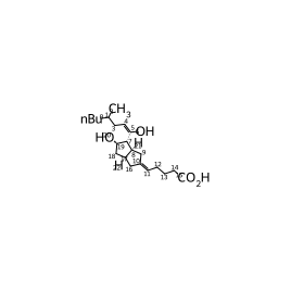 CCCCC(C)C/C=C(/O)[C@@H]1[C@H]2C/C(=C\CCCC(=O)O)C[C@H]2C[C@H]1O